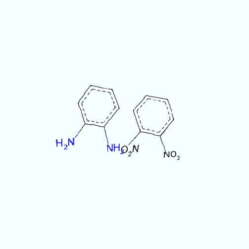 Nc1ccccc1N.O=[N+]([O-])c1ccccc1[N+](=O)[O-]